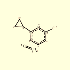 C=O.Clc1cccc(C2CC2)n1